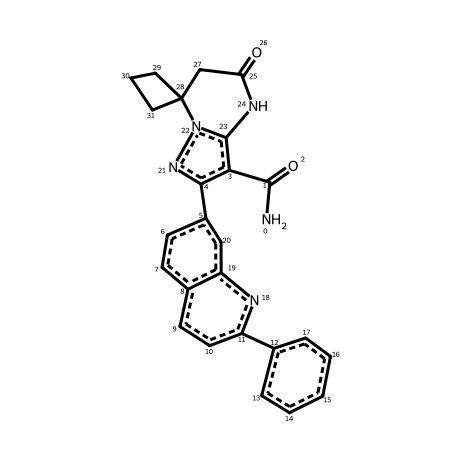 NC(=O)c1c(-c2ccc3ccc(-c4ccccc4)nc3c2)nn2c1NC(=O)CC21CCC1